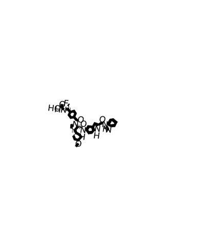 CO[C@H]1CC[C@H]([C@@H]2CCN(C(=O)C3CCC([C@@H](CF)NC(=O)O)CC3)[C@@H]2C(=O)Nc2ccc3[nH]c(C(=O)n4nnc5ccccc54)cc3c2)CC1